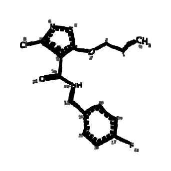 CCCOc1snc(Cl)c1C(=O)NCc1ccc(F)cc1